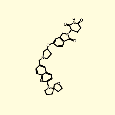 O=C1CCC(N2Cc3cc(O[C@H]4CCN(Cc5ccc6nc(N7CCC[C@@]78CCOC8)ccc6c5)C4)ccc3C2=O)C(=O)N1